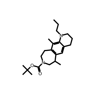 CCCN1CCCc2cc3c(c(C)c21)CCN(C(=O)OC(C)(C)C)CC3C